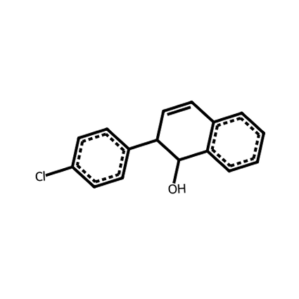 OC1c2ccccc2C=CC1c1ccc(Cl)cc1